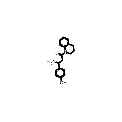 NC(CC(=O)N1CCCc2ccccc21)c1ccc(O)cc1